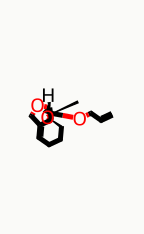 C=CCO[C@@]1(C)C[C@@H]2OCC3=CCCC[C@]32O1